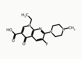 CCn1cc(C(=O)O)c(=O)c2cc(F)c(N3CCN(C)CC3)nc21